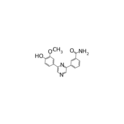 COc1cc(-c2cncc(-c3cccc(C(N)=O)c3)n2)ccc1O